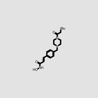 CC(C)(C)CC(=O)N1CCN(Cc2ccc(/C=C/C(=O)NO)cc2)CC1